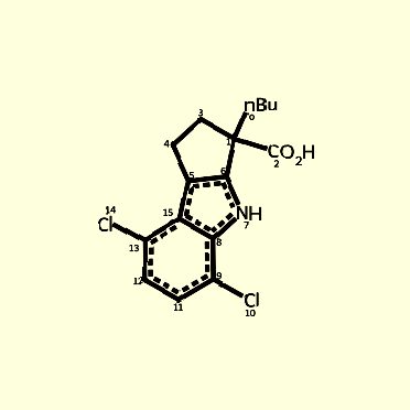 CCCCC1(C(=O)O)CCc2c1[nH]c1c(Cl)ccc(Cl)c21